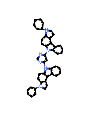 c1ccc(-n2ccc3c4c5ccccc5n(-c5cc(-n6c7ccccc7c7c8ccn(-c9ccccc9)c8ccc76)ncn5)c4ccc32)cc1